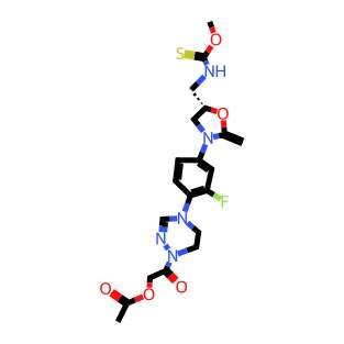 C=C1O[C@@H](CNC(=S)OC)CN1c1ccc(N2C=NN(C(=O)COC(C)=O)CC2)c(F)c1